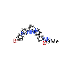 COC(=O)Nc1cccc(-c2ccnc(N[C@@H]3CCCC[C@H]3N[C@H]3CCCN(c4ccc(Br)cc4)C3)c2)c1